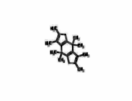 CC1=C(C)C2=C(C1)C(C)(C)C1=C(CC(C)=C1C)C2(C)C